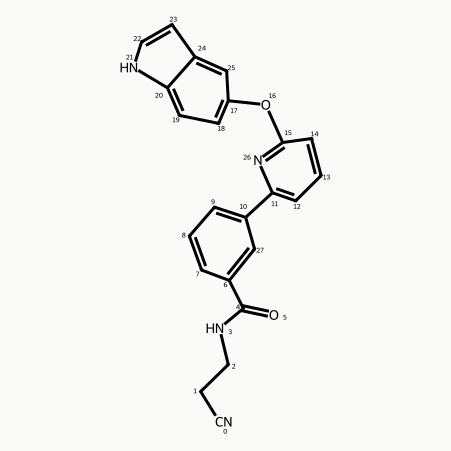 N#CCCNC(=O)c1cccc(-c2cccc(Oc3ccc4[nH]ccc4c3)n2)c1